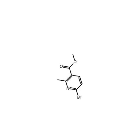 COC(=O)c1ccc(Br)nc1C